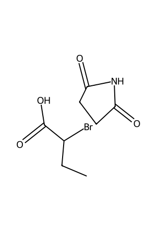 CCC(Br)C(=O)O.O=C1CCC(=O)N1